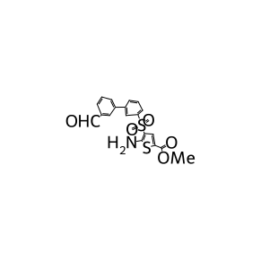 COC(=O)c1cc(S(=O)(=O)c2cccc(-c3cccc(C=O)c3)c2)c(N)s1